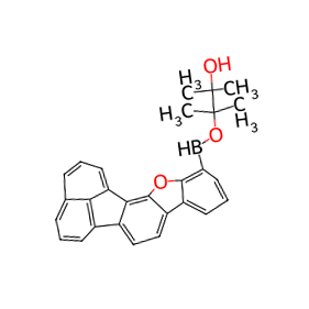 CC(C)(O)C(C)(C)OBc1cccc2c1oc1c3c(ccc12)-c1cccc2cccc-3c12